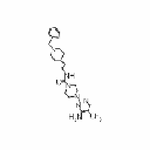 Nc1nc(N2CCN(C(=O)NCCC3CCN(Cc4ccccc4)CC3)CC2)ncc1C(F)(F)F